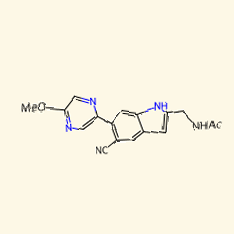 COc1cnc(-c2cc3[nH]c(CNC(C)=O)cc3cc2C#N)cn1